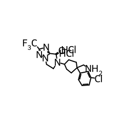 Cl.Cl.NCC1(c2cccc(Cl)c2)CCC(N2CCn3nc(C(F)(F)F)nc3C2=O)CC1